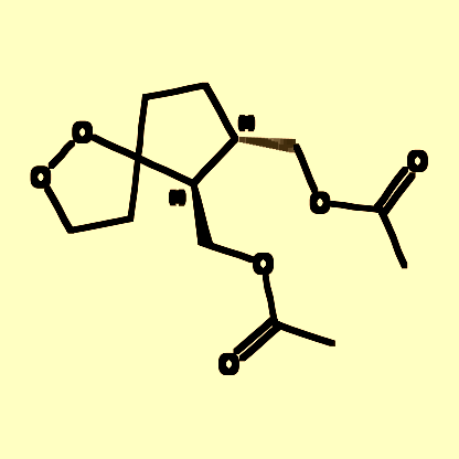 CC(=O)OC[C@H]1CCC2(CCOO2)[C@@H]1COC(C)=O